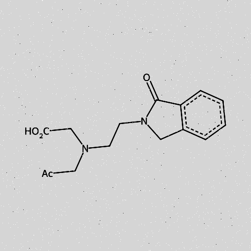 CC(=O)CN(CCN1Cc2ccccc2C1=O)CC(=O)O